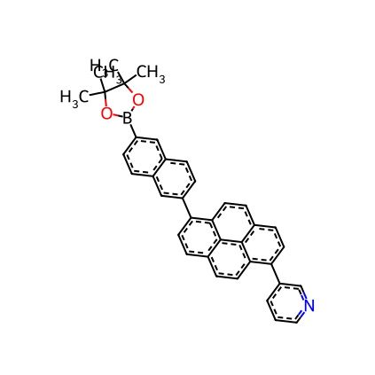 CC1(C)OB(c2ccc3cc(-c4ccc5ccc6c(-c7cccnc7)ccc7ccc4c5c76)ccc3c2)OC1(C)C